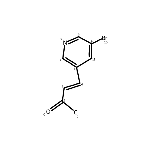 O=C(Cl)C=Cc1cncc(Br)c1